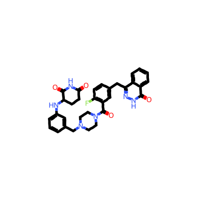 O=C1CCC(Nc2cccc(CN3CCN(C(=O)c4cc(Cc5n[nH]c(=O)c6ccccc56)ccc4F)CC3)c2)C(=O)N1